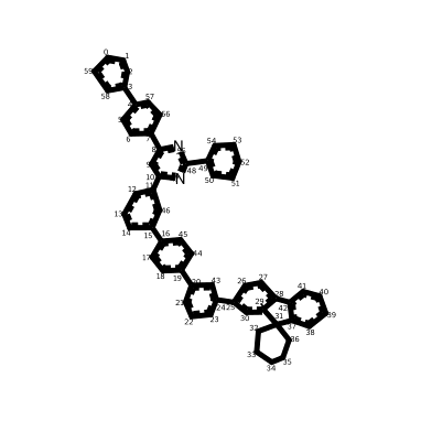 c1ccc(-c2ccc(-c3cc(-c4cccc(-c5ccc(-c6cccc(-c7ccc8c(c7)C7(CCCCC7)c7ccccc7-8)c6)cc5)c4)nc(-c4ccccc4)n3)cc2)cc1